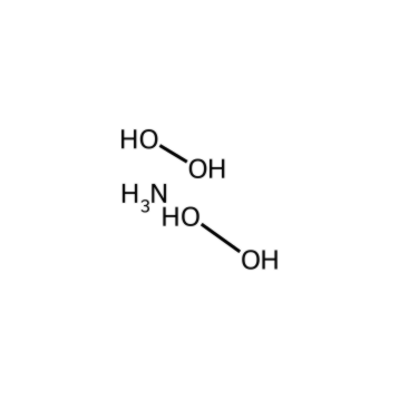 N.OO.OO